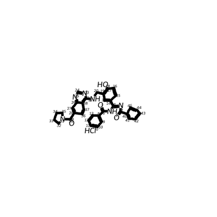 Cl.O=C(N=C(NC(=O)c1ccccc1)c1ccc(O)c(CNc2ncnc3cc(C(=O)N4CCCC4)ccc23)c1)c1ccccc1